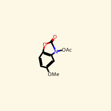 COc1ccc2oc(=O)n(OC(C)=O)c2c1